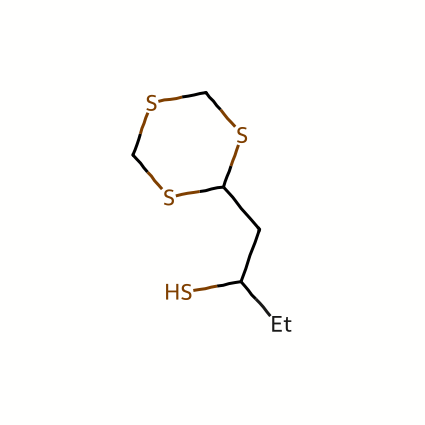 CCC(S)CC1SCSCS1